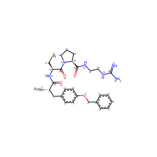 CC(=O)N[C@@H](Cc1ccc(OCc2ccccc2)cc1)C(=O)N[C@@H](CC(C)C)C(=O)N1CCC[C@H]1C(=O)NCCNC(=N)N